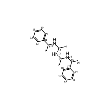 CC(NC(C)NC(C)c1ccccc1)NC(C)c1ccccc1